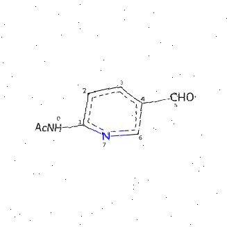 CC(=O)Nc1ccc([C]=O)cn1